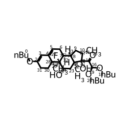 CCCCOC1=CC2=CC[C@H]3[C@@H]4C[C@H](C)[C@](O)(C(=O)C(OCCCC)OCCCC)[C@@]4(C)C[C@H](O)[C@]3(F)[C@@]2(C)CC1